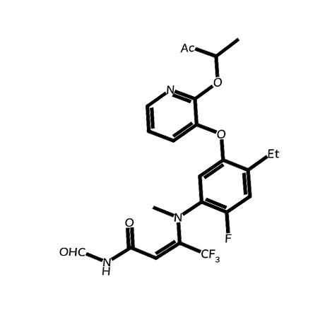 CCc1cc(F)c(N(C)/C(=C\C(=O)NC=O)C(F)(F)F)cc1Oc1cccnc1OC(C)C(C)=O